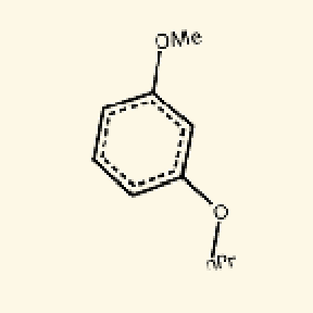 CCCOc1cccc(OC)c1